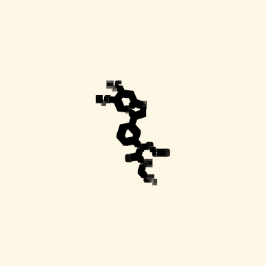 Cc1cc2ncc(-c3cccc(N(OC=O)C(=O)NCC(F)(F)F)c3)n2cc1C